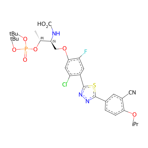 CC(C)Oc1ccc(-c2nnc(-c3cc(F)c(OC[C@H](NC(=O)O)[C@@H](C)OP(=O)(OC(C)(C)C)OC(C)(C)C)cc3Cl)s2)cc1C#N